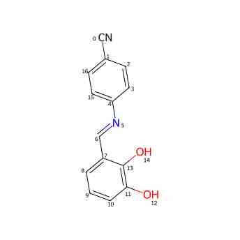 N#Cc1ccc(N=Cc2cccc(O)c2O)cc1